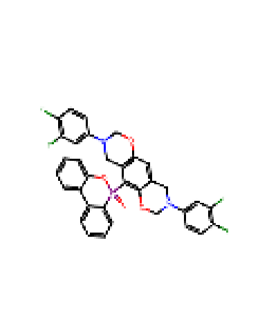 O=P1(c2c3c(cc4c2OCN(c2ccc(F)c(F)c2)C4)OCN(c2ccc(F)c(F)c2)C3)Oc2ccccc2-c2ccccc21